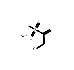 O=C(CCl)S(=O)(=O)[O-].[Na+]